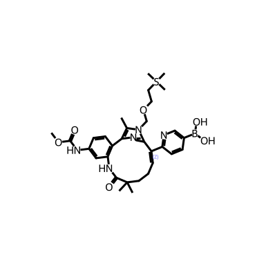 COC(=O)Nc1ccc2c(c1)NC(=O)C(C)(C)CC/C=C(/c1ccc(B(O)O)cn1)c1nc-2c(C)n1COCCS(C)(C)C